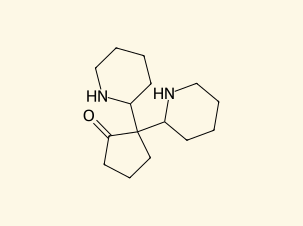 O=C1CCCC1(C1CCCCN1)C1CCCCN1